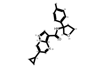 Cc1ccc(C2(NC(=O)c3cnn4cc(C5CC5)cnc34)CCOC2)cc1